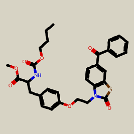 CCCCOC(=O)NC(Cc1ccc(OCCn2c(=O)sc3cc(C(=O)c4ccccc4)ccc32)cc1)C(=O)OC